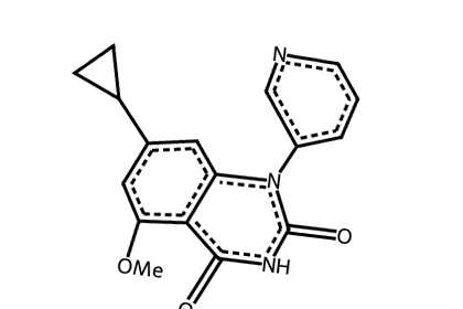 COc1cc(C2CC2)cc2c1c(=O)[nH]c(=O)n2-c1cccnc1